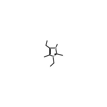 CCc1c(C)[n+](CC)c(C)n1C